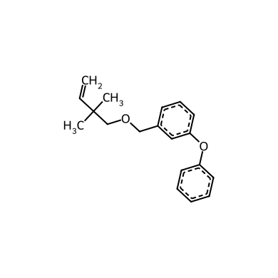 C=CC(C)(C)COCc1cccc(Oc2ccccc2)c1